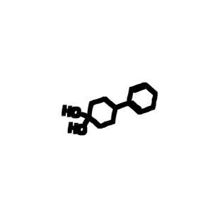 OC1(O)CCC(C2=CCCC=C2)CC1